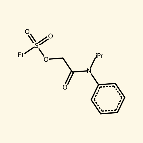 CCS(=O)(=O)OCC(=O)N(c1ccccc1)C(C)C